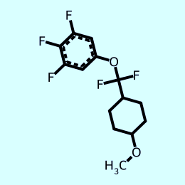 COC1CCC(C(F)(F)Oc2cc(F)c(F)c(F)c2)CC1